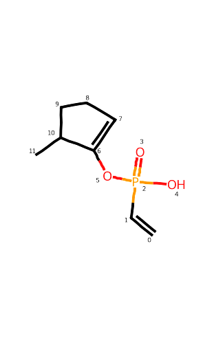 C=CP(=O)(O)OC1=CCCC1C